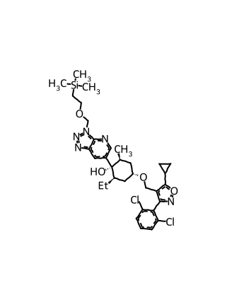 CC[C@@H]1C[C@@H](OCc2c(-c3c(Cl)cccc3Cl)noc2C2CC2)C[C@H](C)[C@]1(O)c1cnc2c(c1)nnn2COCC[Si](C)(C)C